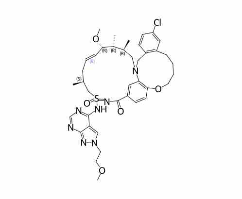 COCCn1cc2c(NS3(=O)=NC(=O)c4ccc5c(c4)N(Cc4ccc(Cl)cc4CCCCO5)C[C@H](C)[C@@H](C)[C@@H](OC)/C=C/C[C@H](C)C3)ncnc2n1